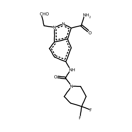 NC(=O)c1nn(CC=O)c2ccc(NC(=O)N3CCC(F)(F)CC3)cc12